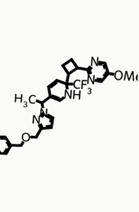 COc1cnc(C2CCC2C2(C(F)(F)F)C=CC(C(C)n3ccc(COCc4ccccc4)n3)=CN2)nc1